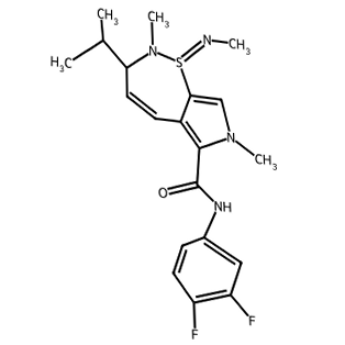 C/N=S1\c2cn(C)c(C(=O)Nc3ccc(F)c(F)c3)c2C=CC(C(C)C)N1C